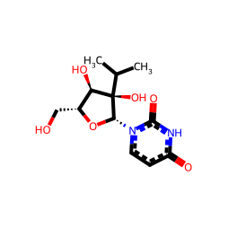 CC(C)[C@@]1(O)[C@H](O)[C@@H](CO)O[C@H]1n1ccc(=O)[nH]c1=O